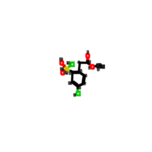 CC(C)(C)OC(=O)Cc1ccc(Cl)cc1S(=O)(=O)Cl